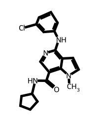 Cn1ccc2c(Nc3cccc(Cl)c3)ncc(C(=O)NC3CCCC3)c21